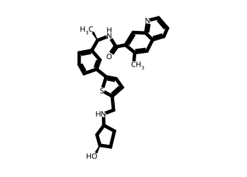 Cc1cc2cccnc2cc1C(=O)N[C@H](C)c1cccc(-c2ccc(CNC3CC[C@@H](O)C3)s2)c1